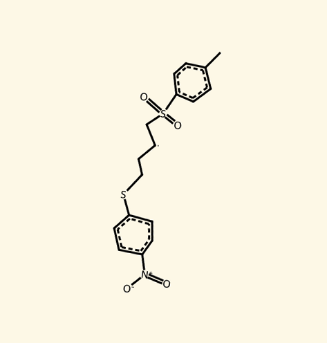 Cc1ccc(S(=O)(=O)C[CH]CCSc2ccc([N+](=O)[O-])cc2)cc1